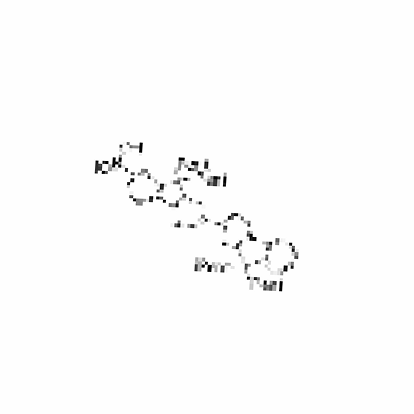 CCCC(C)C1(C(C)CCC)c2ccccc2-c2ccc(-c3ccc4c(c3)C(C(C)CCC)(C(C)CCC)c3cc(B(O)O)ccc3-4)cc21